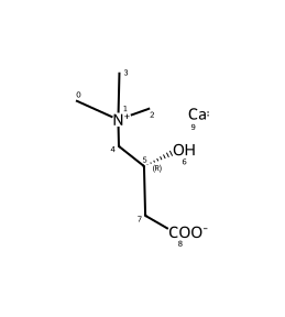 C[N+](C)(C)C[C@H](O)CC(=O)[O-].[Ca]